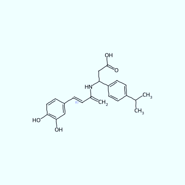 C=C(/C=C/c1ccc(O)c(O)c1)NC(CC(=O)O)c1ccc(C(C)C)cc1